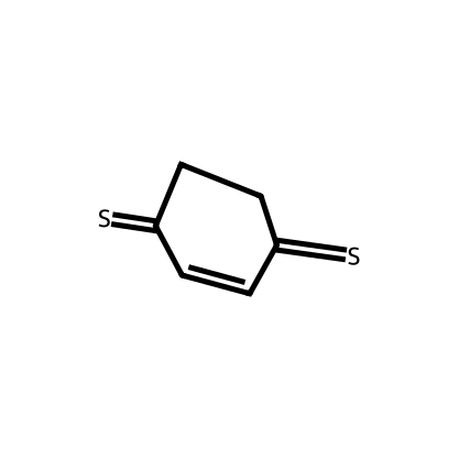 S=C1C=CC(=S)CC1